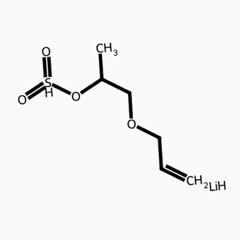 C=CCOCC(C)O[SH](=O)=O.[LiH]